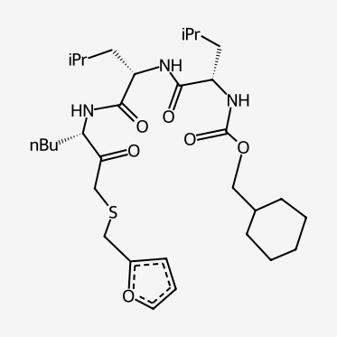 CCCC[C@H](NC(=O)[C@H](CC(C)C)NC(=O)[C@H](CC(C)C)NC(=O)OCC1CCCCC1)C(=O)CSCc1ccco1